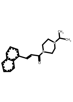 CC(C)N1CCN(C(=O)C=Cc2cccc3ccccc23)CC1